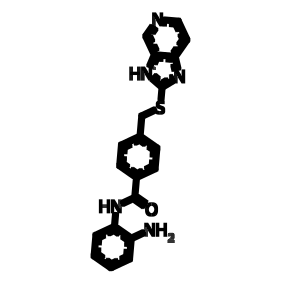 Nc1ccccc1NC(=O)c1ccc(CSc2nc3ccncc3[nH]2)cc1